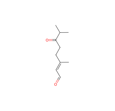 C/C(=C\C=O)CCC(=O)C(C)C